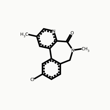 Cc1cnc2c(c1)-c1cc(Cl)ccc1CN(C)C2=O